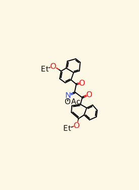 CCOc1ccc(C(=O)C(=NOC(C)=O)C(=O)c2ccc(OCC)c3ccccc23)c2ccccc12